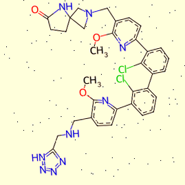 COc1nc(-c2cccc(-c3cccc(-c4ccc(CN5CC6(CCC(=O)N6)C5)c(OC)n4)c3Cl)c2Cl)ccc1CNCc1nnn[nH]1